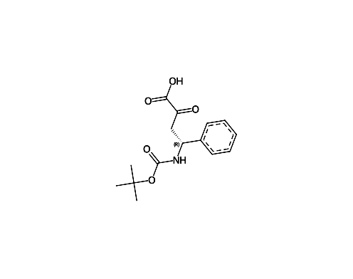 CC(C)(C)OC(=O)N[C@H](CC(=O)C(=O)O)c1ccccc1